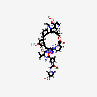 CCn1c(-c2cnccc2COC)c2c3cc(ccc31)-c1cc(O)cc(c1)C[C@H](NC(=O)[C@H](C(C)C)N(C)C(=O)[C@H]1CCN(C(=O)CN3CC[C@@H](O)C3)C1)C(=O)N1CCC[C@H](N1)C(=O)OCC(C)(C)C2